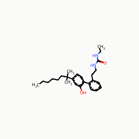 CCCCCCC(C)(C)c1ccc(-c2ccccc2CCNC(=O)NCC)c(O)c1